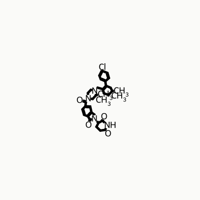 CC1(C)CCC(CN2CCN(C(=O)c3ccc4c(c3)CN(C3CCC(=O)NC3=O)C4=O)CC2(C)C)=C(c2ccc(Cl)cc2)C1